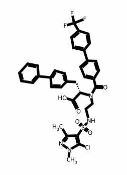 Cc1nn(C)c(Cl)c1S(=O)(=O)NCCN(C(=O)c1ccc(-c2ccc(C(F)(F)F)cc2)cc1)[C@@H](Cc1ccc(-c2ccccc2)cc1)C(=O)O